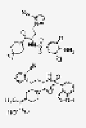 CC(C(=O)O)=C1CCN(C(=O)C(CCn2cccc2C#N)NS(=O)(=O)c2cccc3[nH]ccc23)CC1.N#Cc1cccn1CCC(NS(=O)(=O)c1cc(Cl)c(N)c(Cl)c1)C(=O)N1CCC2(CC1)CC2